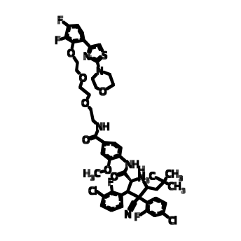 COc1cc(C(=O)NCCOCCOCCOc2c(-c3csc(N4CCOCC4)n3)ccc(F)c2F)ccc1NC(=O)[C@H]1NC(CC(C)(C)C)C(C#N)(c2ccc(Cl)cc2F)C1c1cccc(Cl)c1F